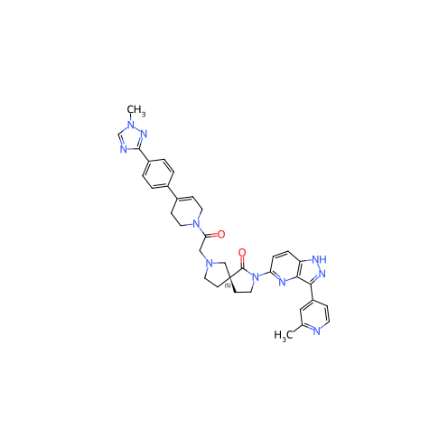 Cc1cc(-c2n[nH]c3ccc(N4CC[C@]5(CCN(CC(=O)N6CC=C(c7ccc(-c8ncn(C)n8)cc7)CC6)C5)C4=O)nc23)ccn1